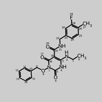 CCNc1[nH]c(=O)n(OCc2ccccc2)c(=O)c1C(=O)NCc1ccc(C)c(F)c1